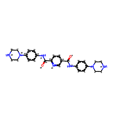 O=C(Nc1ccc(N2CCNCC2)cc1)c1ccc(C(=O)Nc2ccc(N3CCNCC3)cc2)nc1